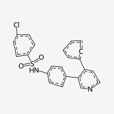 O=S(=O)(Nc1ccc(-c2cnccc2-c2ccccc2)cc1)c1ccc(Cl)cc1